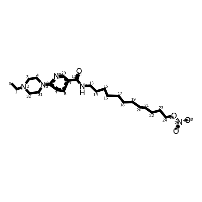 CCN1CCN(c2ccc(C(=O)NCCCCCCCCCCCCO[N+](=O)[O-])cn2)CC1